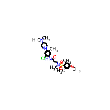 COc1cc(C)c(S(=O)(=O)N(C)CCC(=O)Nc2cc(C)c(N3CCC(N(C)C)CC3)cc2Cl)c(C)c1